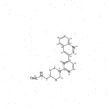 O=CNCC1CCN(c2nccc(-c3cnc4ccccc4c3)n2)CC1